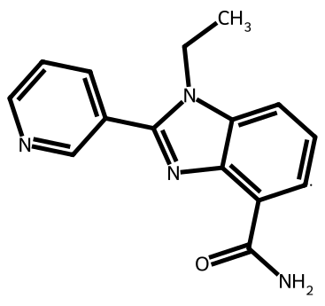 CCn1c(-c2cccnc2)nc2c(C(N)=O)[c]ccc21